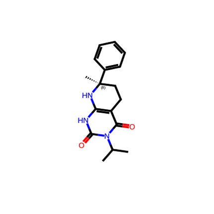 CC(C)n1c(=O)[nH]c2c(c1=O)CC[C@](C)(c1ccccc1)N2